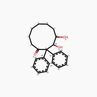 O=C1CCCCCCC(O)C(O)C1(c1ccccc1)c1ccccc1